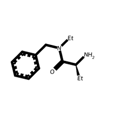 CC[C@H](N)C(=O)N(CC)Cc1ccccc1